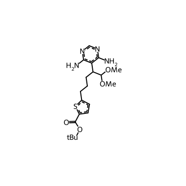 COC(OC)C(CCCc1ccc(C(=O)OC(C)(C)C)s1)c1c(N)ncnc1N